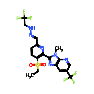 CCS(=O)(=O)c1ccc(/C=N/NCC(F)(F)F)nc1-c1nc2cc(C(F)(F)F)cnc2n1C